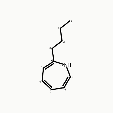 [CH2]CCCC1=CC=CC=CN1